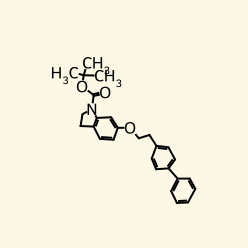 CC(C)(C)OC(=O)N1CCc2ccc(OCCc3ccc(-c4ccccc4)cc3)cc21